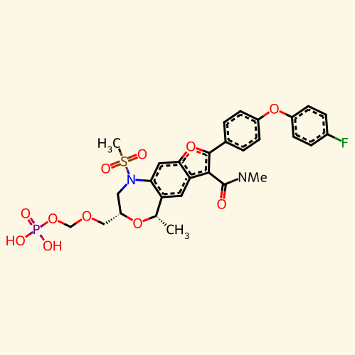 CNC(=O)c1c(-c2ccc(Oc3ccc(F)cc3)cc2)oc2cc3c(cc12)[C@H](C)O[C@H](COCOP(=O)(O)O)CN3S(C)(=O)=O